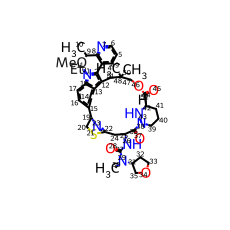 CCn1c(-c2cccnc2[C@H](C)OC)c2c3cc(ccc31)C1CSC(=N1)C[C@H](NC(=O)N(C)[C@@H]1CCOC1)C(=O)N1CCC[C@H](N1)C(=O)OCC(C)(C)C2